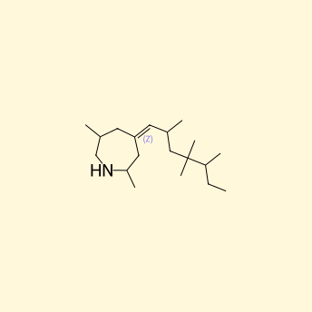 CCC(C)C(C)(C)CC(C)/C=C1/CC(C)CNC(C)C1